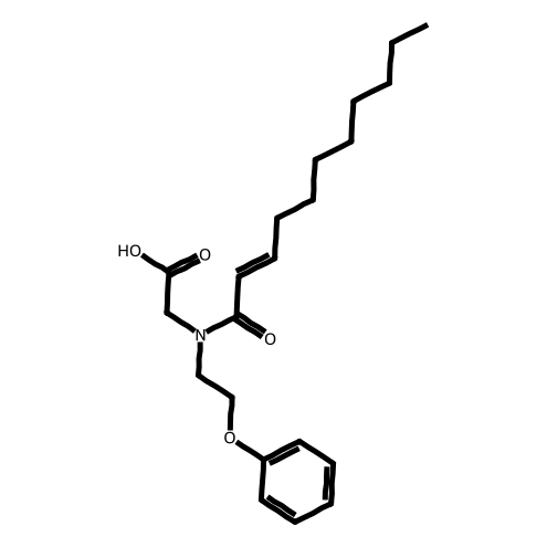 CCCCCCCCC=CC(=O)N(CCOc1ccccc1)CC(=O)O